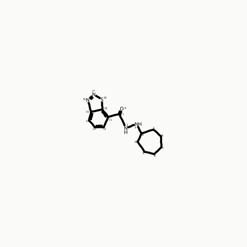 O=C(NNC1CCCCCC1)c1cccc2nnsc12